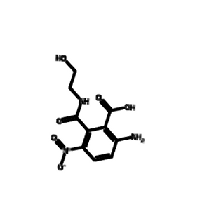 Nc1ccc([N+](=O)[O-])c(C(=O)NCCO)c1C(=O)O